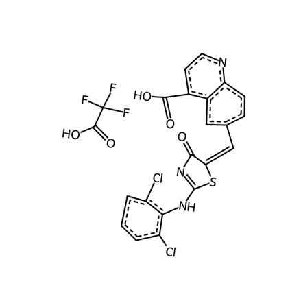 O=C(O)C(F)(F)F.O=C1N=C(Nc2c(Cl)cccc2Cl)SC1=Cc1ccc2nccc(C(=O)O)c2c1